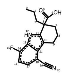 CCCC1(C(=O)O)CCCc2c1[nH]c1c(F)ccc(C#N)c21